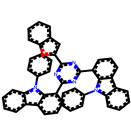 c1ccc(-n2c3ccccc3c3cccc(-c4nc(-c5cc6ccccc6o5)nc(-c5cccc6c7ccccc7n(-c7ccccc7)c56)n4)c32)cc1